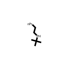 CCCCCPC(C)(C)C